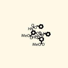 COC(=O)C1=CC(CO)(NC(=O)OCc2ccccc2)CC=C1.COC(=O)c1cc(NC(=O)OCc2ccccc2)cc(C(=O)O)c1